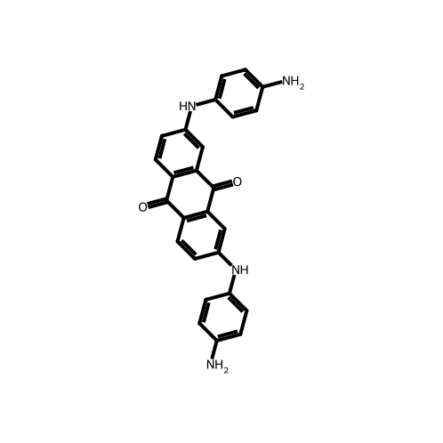 Nc1ccc(Nc2ccc3c(c2)C(=O)c2cc(Nc4ccc(N)cc4)ccc2C3=O)cc1